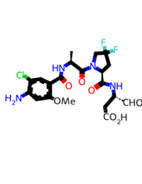 COc1cc(N)c(Cl)cc1C(=O)N[C@@H](C)C(=O)N1CC(F)(F)C[C@H]1C(=O)N[C@H](C=O)CC(=O)O